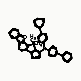 CC1(C)c2c(cccc2N(c2ccc(-c3ccccc3)cc2)c2ccc(-c3ccccc3)cc2)-c2ccc3c(oc4ccccc43)c21